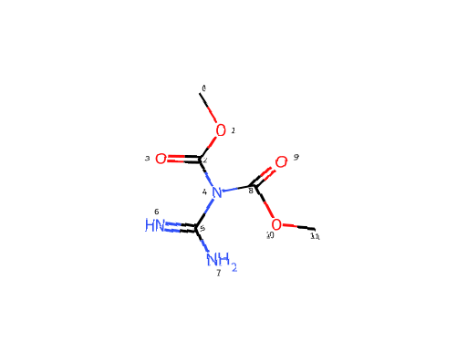 COC(=O)N(C(=N)N)C(=O)OC